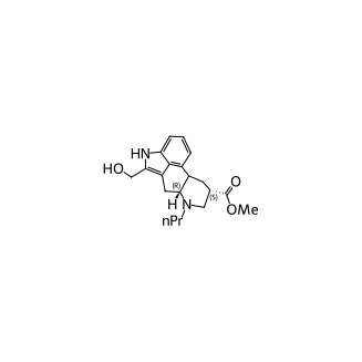 CCCN1C[C@@H](C(=O)OC)CC2c3cccc4[nH]c(CO)c(c34)C[C@H]21